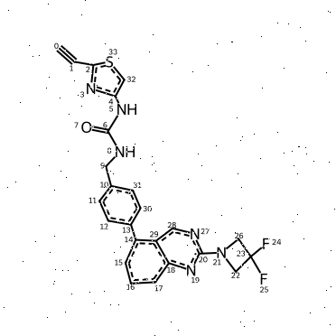 C#Cc1nc(NC(=O)NCc2ccc(-c3cccc4nc(N5CC(F)(F)C5)ncc34)cc2)cs1